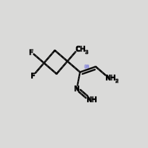 CC1(/C(=C/N)N=N)CC(F)(F)C1